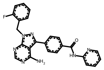 Nc1ncnc2c1c(-c1ccc(C(=O)Nc3ccccn3)cc1)nn2Cc1ccccc1F